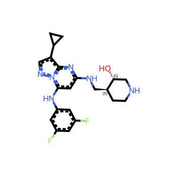 O[C@@H]1CNCC[C@H]1CNc1cc(Nc2cc(F)cc(F)c2)n2ncc(C3CC3)c2n1